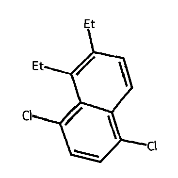 CCc1ccc2c(Cl)ccc(Cl)c2c1CC